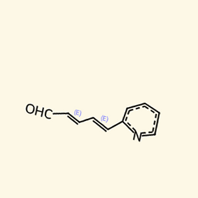 O=C/C=C/C=C/c1ccccn1